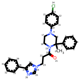 CC1(c2ccccc2)CN(c2ccc(Cl)cc2)CCN1C(=O)CCn1cnc(-c2ccccc2)c1